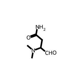 CN(C)C(C=O)CC(N)=O